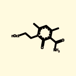 CCCCCCCCCCn1c(C)cc(C)c(C(N)=O)c1=O